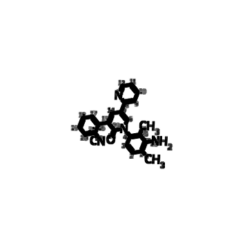 Cc1ccc(-n2cc(-c3ccccn3)cc(-c3ccccc3C#N)c2=O)c(C)c1N